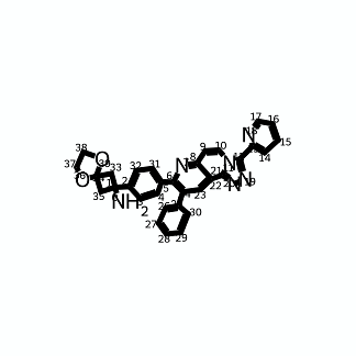 NC1(c2ccc(-c3nc4ccn5c(-c6ccccn6)nnc5c4cc3-c3ccccc3)cc2)CC2(C1)OCCO2